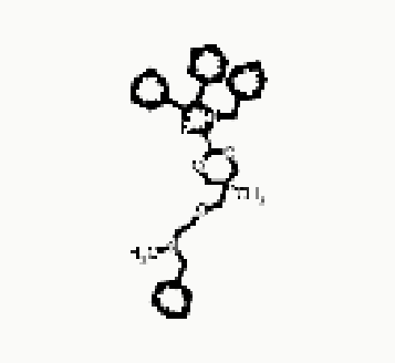 CN(CCOC[C@]1(C)CO[C@H](c2nc(-c3ccccc3)c(-c3ccccc3)n2Cc2ccccc2)OC1)Cc1ccccc1